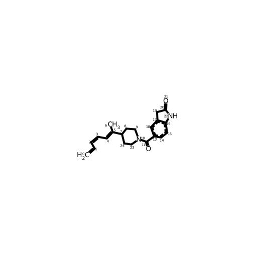 C=C/C=C\C=C(/C)C1CCN(C(=O)c2ccc3c(c2)CC(=O)N3)CC1